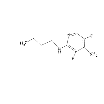 CCCCNc1ncc(F)c(N)c1F